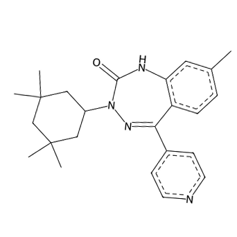 Cc1ccc2c(c1)NC(=O)N(C1CC(C)(C)CC(C)(C)C1)N=C2c1ccncc1